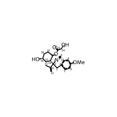 C#[N+]C(Cc1ccc(OC)cc1)(C(=C)C)[C@H]1C[C@@H](O)CC[C@@H]1OC(=O)CO